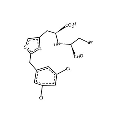 CC(C)C[C@@H](C=O)N[C@@H](Cc1csc(Cc2cc(Cl)cc(Cl)c2)n1)C(=O)O